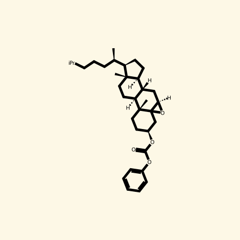 CC(C)CCC[C@@H](C)[C@H]1CC[C@H]2[C@@H]3C[C@H]4OC45C[C@@H](OC(=O)Oc4ccccc4)CC[C@]5(C)[C@H]3CC[C@]12C